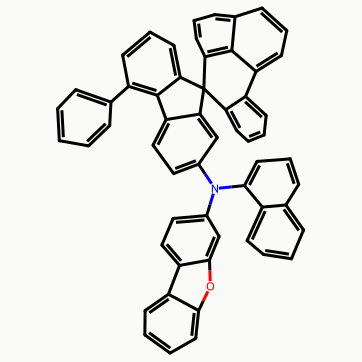 c1ccc(-c2cccc3c2-c2ccc(N(c4ccc5c(c4)oc4ccccc45)c4cccc5ccccc45)cc2C32c3ccccc3-c3cccc4cccc2c34)cc1